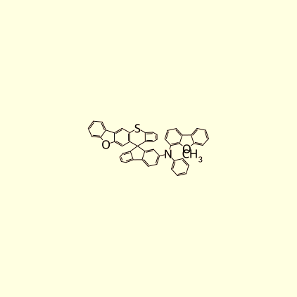 Cc1ccccc1N(c1ccc2c(c1)C1(c3ccccc3Sc3cc4c(cc31)oc1ccccc14)c1ccccc1-2)c1cccc2c1oc1ccccc12